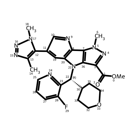 COC(=O)c1nn(C)c2c3ncc(-c4c(C)nnn4C)cc3n([C@@H](c3ncccc3F)C3CCOCC3)c12